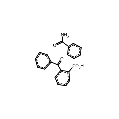 NC(=O)c1ccccc1.O=C(O)c1ccccc1C(=O)c1ccccc1